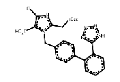 CCCCCCCCCCCc1nc(Cl)c(C(=O)O)n1Cc1ccc(-c2ccccc2-c2nnn[nH]2)cc1